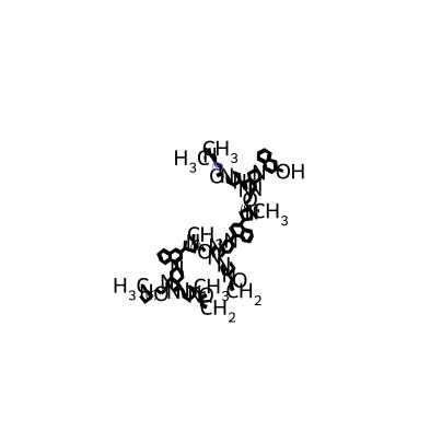 C=CC(=O)N1CCN(c2nc(OC[C@@H]3CC(c4cc(N5CCc6c(nc(OC[C@@H]7CCCN7C)nc6N6CCN(C(=O)C=C)[C@H](C)C6)C5)c5ccccc5c4)CN3C)nc3c2CCN(c2ccc(C4C[C@@H](COc5nc6c(c(N7CCN(C(=O)/C=C/CN(C)C)CC7)n5)CCN(c5cc(O)cc7ccccc57)C6)N(C)C4)c4ccccc24)C3)CC1